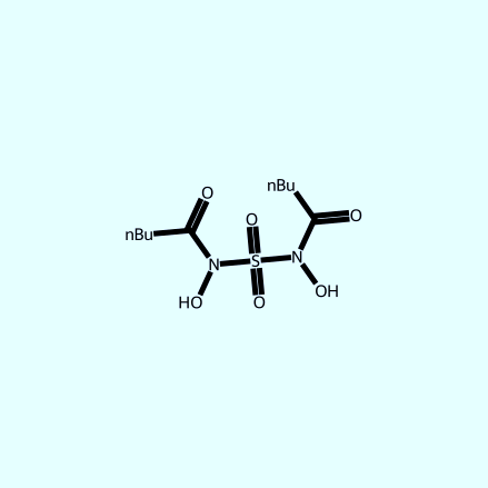 CCCCC(=O)N(O)S(=O)(=O)N(O)C(=O)CCCC